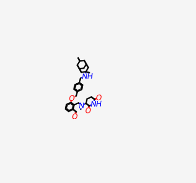 CC1CC2CC(C1)CC(C)(NCc1ccc(COc3cccc(C=O)c3CN(C)C3CCC(=O)NC3=O)cc1)C2